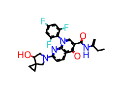 C=C(CC)NC(=O)c1cn(-c2c(F)cc(F)cc2F)c2nc(N3CC(O)C4(CC4)C3)ccc2c1=O